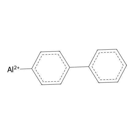 [Al+2][c]1ccc(-c2ccccc2)cc1